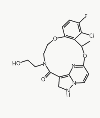 CC1OC2=NC3=C(CNN3C=C2)C(=O)N(CCO)CCOc2ccc(F)c(Cl)c21